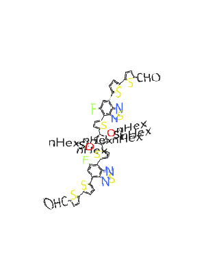 CCCCCC[Si](CCCCCC)(CCCCCC)Oc1cc(-c2ccc(-c3c(F)cc(-c4ccc(-c5ccc(C=O)s5)s4)c4nsnc34)s2)c(O[Si](CCCCCC)(CCCCCC)CCCCCC)cc1-c1ccc(-c2c(F)cc(-c3ccc(-c4ccc(C=O)s4)s3)c3nsnc23)s1